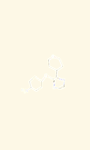 NC1CCC(Oc2nccnc2C2CCOCC2)CC1